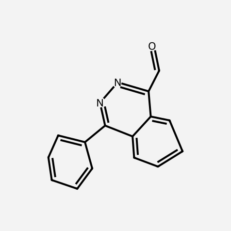 O=Cc1nnc(-c2ccccc2)c2ccccc12